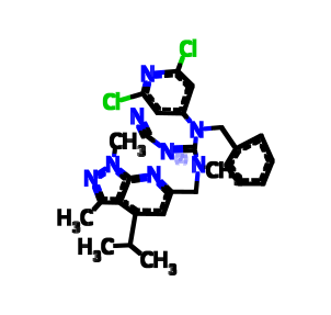 Cc1nn(C)c2nc(CN(C)/C(=N/C#N)N(Cc3ccccc3)c3cc(Cl)nc(Cl)c3)cc(C(C)C)c12